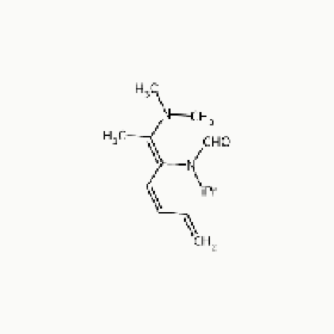 C=C/C=C\C(=C(/C)N(C)C)N(C=O)C(C)C